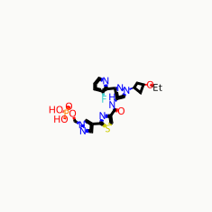 CCO[C@H]1C[C@@H](n2cc(NC(=O)c3csc(-c4cnn(COP(=O)(O)O)c4)n3)c(-c3ncccc3F)n2)C1